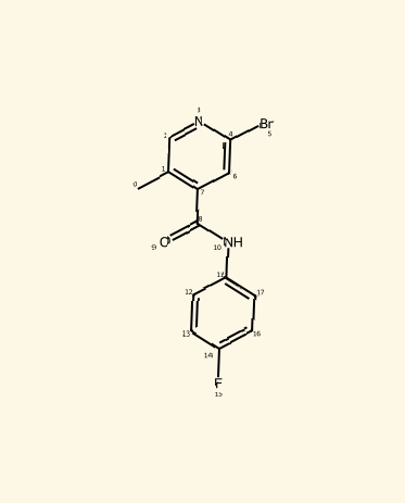 Cc1cnc(Br)cc1C(=O)Nc1ccc(F)cc1